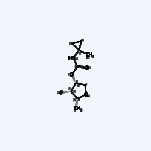 C[C@H]1OC[C@@H](OC(=O)NC2(C)CC2)[C@H]1F